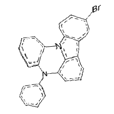 Brc1ccc2c(c1)c1cccc3c1n2-c1ccccc1N3c1ccccc1